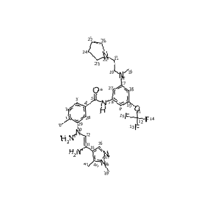 Cc1ccc(C(=O)Nc2cc(OC(F)(F)F)cc(N(C)CCN3CCCC3)c2)cc1N(N)/C=C(\N)c1cnn(C)c1C